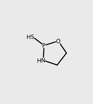 SP1NCCO1